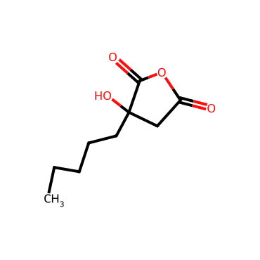 CCCCCC1(O)CC(=O)OC1=O